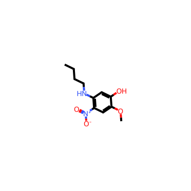 CCCCNc1cc(O)c(OC)cc1[N+](=O)[O-]